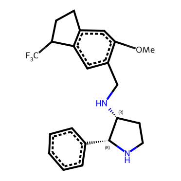 COc1cc2c(cc1CN[C@@H]1CCN[C@@H]1c1ccccc1)C(C(F)(F)F)CC2